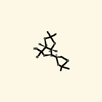 CC1(C)OC[C@H]([C@H]2OC([O])(O)[C@H]3OC(C)(C)O[C@@H]23)O1